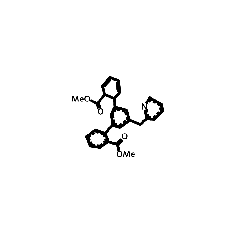 COC(=O)c1ccccc1-c1cc(Cc2ccccn2)cc(C2C=CC=CC2C(=O)OC)c1